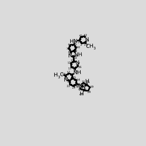 Cc1cc(Nc2ccc3nc(-c4ccc(Nc5cc(C)nc6ccc(N7C[C@H]8CC[C@@H](C7)N8C)cc56)cn4)[nH]c3c2)ccn1